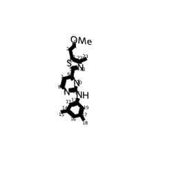 COCCc1sc(-c2ccnc(Nc3cc(C)cc(C)c3)n2)nc1C